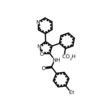 CCc1ccc(C(=O)Nc2onc(-c3cccnc3)c2-c2ccccc2C(=O)O)cc1